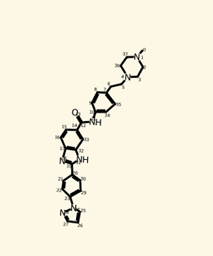 CN1CCN(CCc2ccc(NC(=O)c3ccc4nc(-c5ccc(-n6cccn6)cc5)[nH]c4c3)cc2)CC1